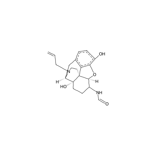 C=CCN1CC[C@]23c4c5ccc(O)c4O[C@H]2C(NC=O)CC[C@@]3(O)[C@H]1C5